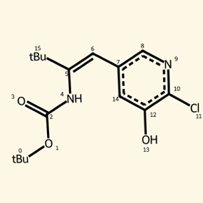 CC(C)(C)OC(=O)N/C(=C\c1cnc(Cl)c(O)c1)C(C)(C)C